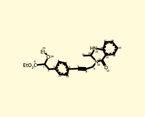 CCOC(=O)C(Cc1ccc(C#CCN2C(=O)c3ccccc3NC2C)cc1)OCC